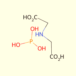 O=C(O)CNCC(=O)O.OP(O)O